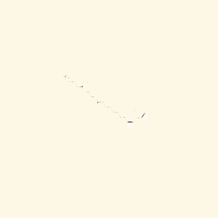 CCC/C=C\C/C=C\CCCCCCCC(=O)OCCOC(=O)CCCN(C)C